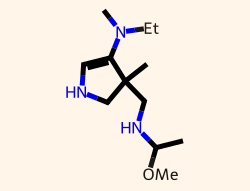 CCN(C)C1=CNCC1(C)CNC(C)OC